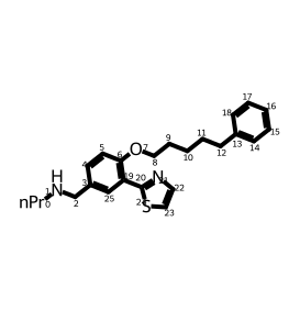 [CH2]CCNCc1ccc(OCCCCCc2ccccc2)c(-c2nccs2)c1